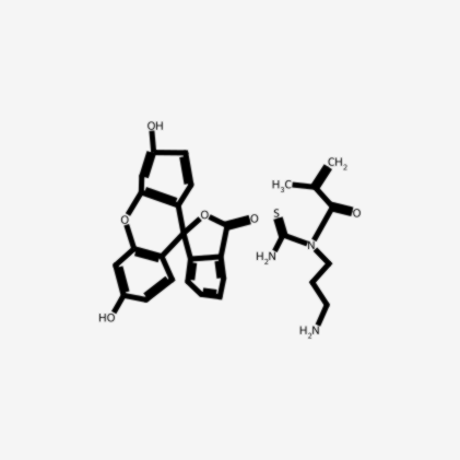 C=C(C)C(=O)N(CCCN)C(N)=S.O=C1OC2(c3ccc(O)cc3Oc3cc(O)ccc32)c2ccccc21